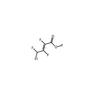 CCC(F)/C(F)=C(\F)C(=O)OF